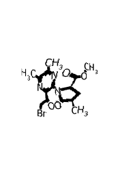 COC(=O)[C@H]1C[C@@H](C)C(=O)N1c1nc(C)c(C)nc1C(=O)CBr